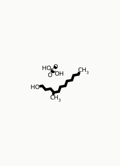 CCCCCCCCC(C)CCCO.O=S(=O)(O)O